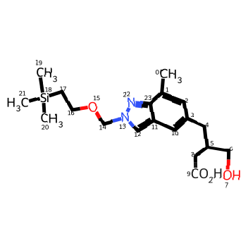 Cc1cc(CC(CO)CC(=O)O)cc2cn(COCC[Si](C)(C)C)nc12